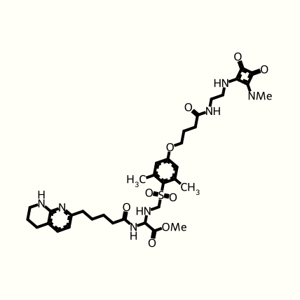 CNc1c(NCCNC(=O)CCCOc2cc(C)c(S(=O)(=O)CNC(NC(=O)CCCCc3ccc4c(n3)NCCC4)C(=O)OC)c(C)c2)c(=O)c1=O